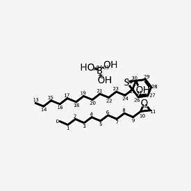 CCCCCCCCCCC1CO1.CCCCCCCCCCCCC12C=CC=CC1(O)S2.OB(O)O